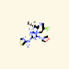 CC(Nc1nc(Nc2cscn2)nc(N2CCOCC2)n1)c1ncc(F)cn1